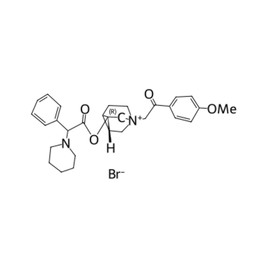 COc1ccc(C(=O)C[N+]23CCC(CC2)[C@@H](OC(=O)C(c2ccccc2)N2CCCCC2)C3)cc1.[Br-]